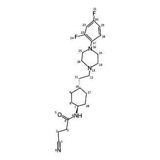 N#CCCC(=O)N[C@H]1CC[C@H](CCN2CCN(c3ccc(F)cc3F)CC2)CC1